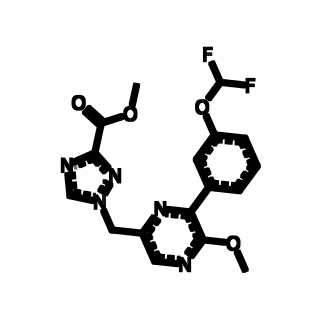 COC(=O)c1ncn(Cc2cnc(OC)c(-c3cccc(OC(F)F)c3)n2)n1